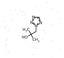 CC(C)(O)Cn1ncnn1